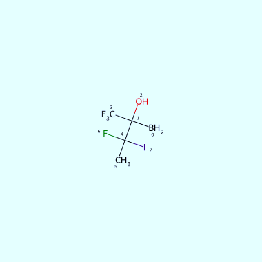 BC(O)(C(F)(F)F)C(C)(F)I